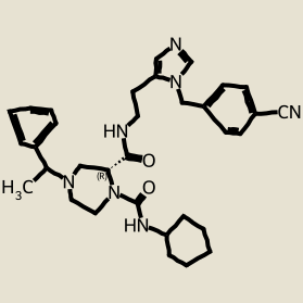 CC(c1ccccc1)N1CCN(C(=O)NC2CCCCC2)[C@@H](C(=O)NCCc2cncn2Cc2ccc(C#N)cc2)C1